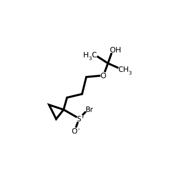 CC(C)(O)OCCCC1([S+]([O-])Br)CC1